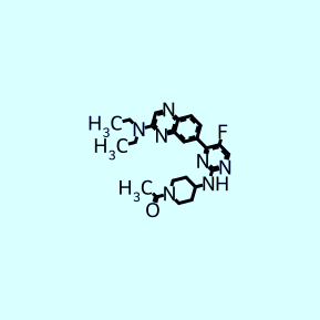 CCN(CC)c1cnc2ccc(-c3nc(NC4CCN(C(C)=O)CC4)ncc3F)cc2n1